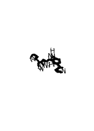 c1ccc(-c2ccnc3[nH]c(-c4n[nH]c5ccc(-c6cccnc6)cc45)cc23)nc1